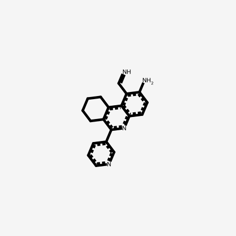 N=Cc1c(N)ccc2nc(-c3cccnc3)c3c(c12)CCCC3